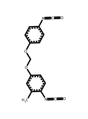 Cc1cc(OCOc2ccc(N=C=O)cc2)ccc1N=C=O